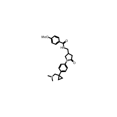 COc1ccc(C(=O)NCC2CC(=O)N(c3ccc(C4(CN(C)C)CC4)cc3)C2)cc1